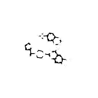 COc1cc2nc(N3CCN(C(=O)c4ccco4)CC3)nc(N)c2cc1OC.NS(=O)(=O)c1ccc2c(c1)SNC=N2